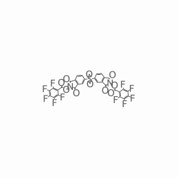 O=C(ON1C(=O)c2ccc(S(=O)(=O)c3ccc4c(c3)C(=O)N(OC(=O)c3c(F)c(F)c(F)c(F)c3F)C4=O)cc2C1=O)c1c(F)c(F)c(F)c(F)c1F